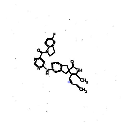 C=C/C=C\C1=C(C)NC(=O)C12Cc1ccc(Nc3cc(C(=O)N4CCc5cc(F)ccc54)ncn3)cc1C2